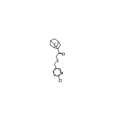 O=C(CSCc1ccc(Cl)nc1)C12CC3CC(CC1C3)C2